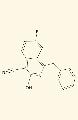 N#Cc1c(O)nc(Cc2ccccc2)c2cc(F)ccc12